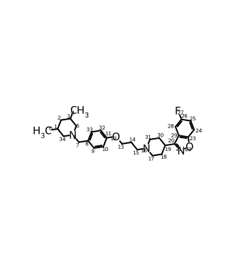 CC1CC(C)CN(Cc2ccc(OCCCN3CCC(c4noc5ccc(F)cc45)CC3)cc2)C1